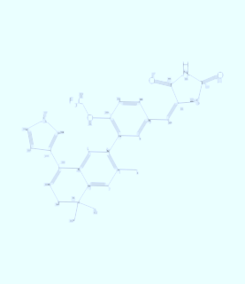 Cc1cc2c(cc1-c1cc(/C=C3/SC(=O)NC3=O)ccc1OC(F)(F)F)C(c1ccsc1)=CCC2(C)C